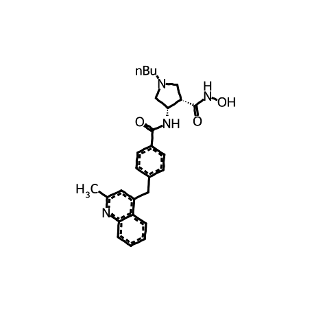 CCCCN1C[C@H](C(=O)NO)[C@H](NC(=O)c2ccc(Cc3cc(C)nc4ccccc34)cc2)C1